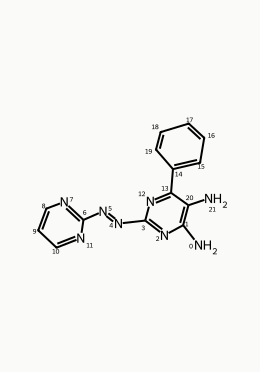 Nc1nc(N=Nc2ncccn2)nc(-c2ccccc2)c1N